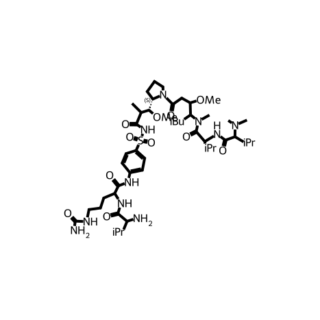 CCC(C)C(C(CC(=O)N1CCC[C@H]1C(OC)C(C)C(=O)NS(=O)(=O)c1ccc(NC(=O)C(CCCNC(N)=O)NC(=O)C(N)C(C)C)cc1)OC)N(C)C(=O)C(NC(=O)C(C(C)C)N(C)C)C(C)C